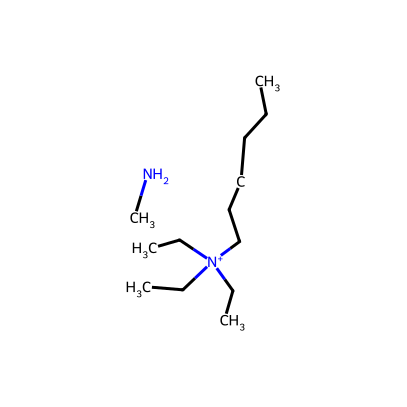 CCCCCC[N+](CC)(CC)CC.CN